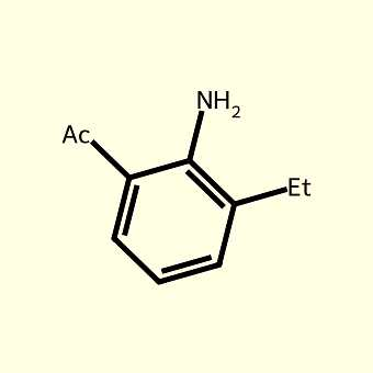 CCc1cccc(C(C)=O)c1N